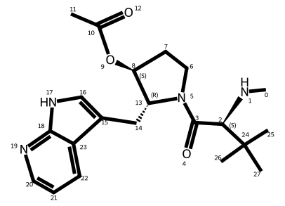 CN[C@H](C(=O)N1CC[C@H](OC(C)=O)[C@H]1Cc1c[nH]c2ncccc12)C(C)(C)C